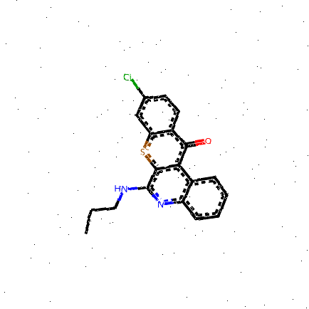 CCCNc1nc2ccccc2c2c(=O)c3ccc(Cl)cc3sc12